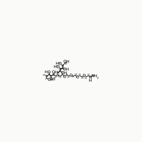 C[C@H](CO)[C@@H](O)[C@H](O)[C@@H](O)CN(CCOCCOCCOCCOCCNN)C[C@H](O)[C@@H](O)[C@H](O)[C@H](O)CO